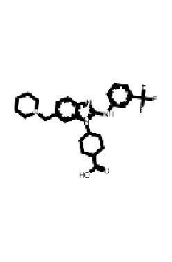 O=C(O)C1CCC(n2c(Nc3cccc(C(F)(F)F)c3)nc3ccc(CN4CCCCC4)cc32)CC1